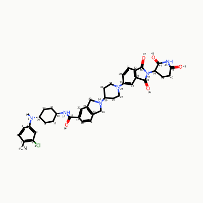 CN(c1ccc(C#N)c(Cl)c1)[C@H]1CC[C@H](NC(=O)c2ccc3c(c2)CN(C2CCN(c4ccc5c(c4)C(=O)N(C4CCC(=O)NC4=O)C5=O)CC2)C3)CC1